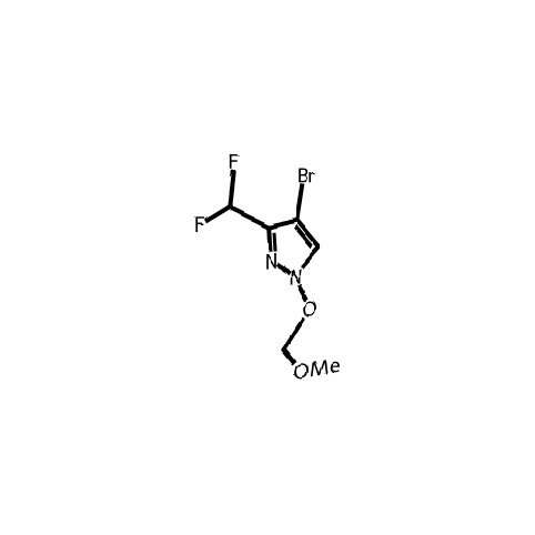 COCOn1cc(Br)c(C(F)F)n1